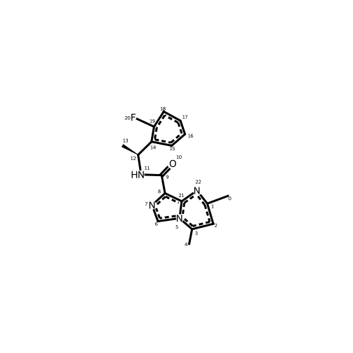 Cc1cc(C)n2cnc(C(=O)N[C@@H](C)c3ccccc3F)c2n1